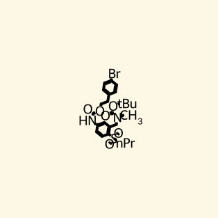 CCCS(=O)(=O)c1ccc(NC(=O)OCCc2ccc(Br)cc2)cc1CN(C)C(=O)OC(C)(C)C